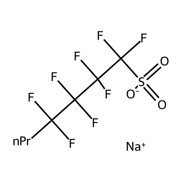 CCCC(F)(F)C(F)(F)C(F)(F)C(F)(F)S(=O)(=O)[O-].[Na+]